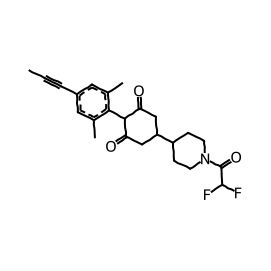 CC#Cc1cc(C)c(C2C(=O)CC(C3CCN(C(=O)C(F)F)CC3)CC2=O)c(C)c1